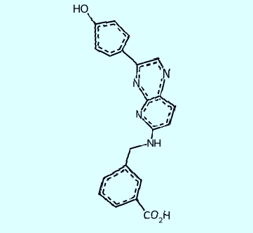 O=C(O)c1cccc(CNc2ccc3ncc(-c4ccc(O)cc4)nc3n2)c1